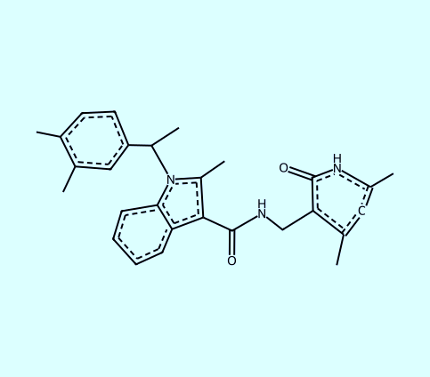 Cc1cc(C)c(CNC(=O)c2c(C)n(C(C)c3ccc(C)c(C)c3)c3ccccc23)c(=O)[nH]1